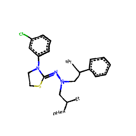 CCCCCCC(CC)CN(CC(CCC)c1ccccc1)N=C1SCCN1c1cccc(Cl)c1